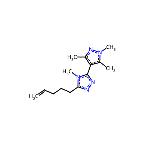 C=CCCCc1nnc(-c2c(C)nn(C)c2C)n1C